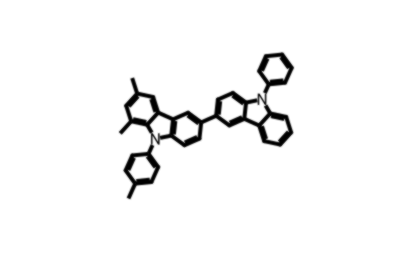 Cc1ccc(-n2c3ccc(-c4ccc5c(c4)c4ccccc4n5-c4ccccc4)cc3c3cc(C)cc(C)c32)cc1